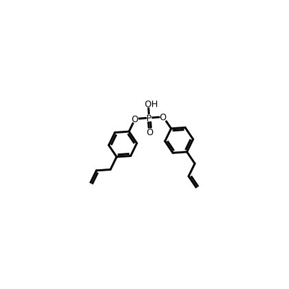 C=CCc1ccc(OP(=O)(O)Oc2ccc(CC=C)cc2)cc1